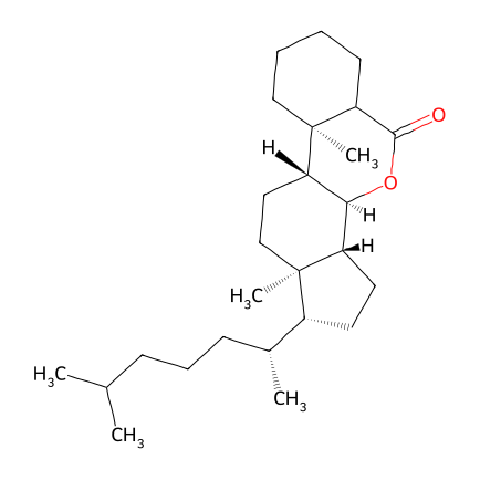 CC(C)CCC[C@@H](C)[C@H]1CC[C@H]2[C@@H]3OC(=O)C4CCCC[C@]4(C)[C@H]3CC[C@]12C